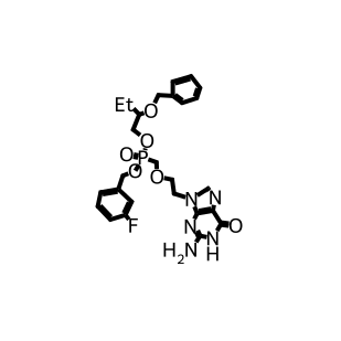 CCC(COP(=O)(COCCn1cnc2c(=O)[nH]c(N)nc21)OCc1cccc(F)c1)OCc1ccccc1